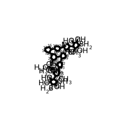 Bc1c(O)c(O)c(-c2cnc(-c3ccc(-c4ccccc4-c4cc(B5OC(C)(C)C(C)(C)O5)cc(-c5ccccc5-c5ccc(-c6cc(C)c(-c7c(O)c(O)c(B)c(O)c7O)cn6)cc5)c4)cc3)cc2C)c(O)c1O